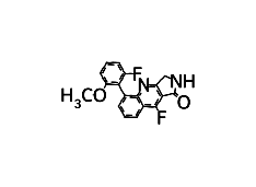 COc1cccc(F)c1-c1cccc2c(F)c3c(nc12)CNC3=O